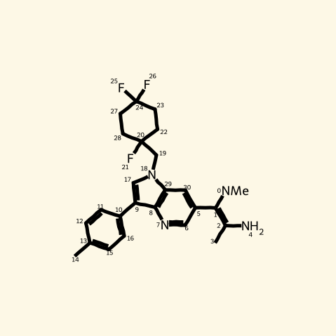 CN/C(=C(/C)N)c1cnc2c(-c3ccc(C)cc3)cn(CC3(F)CCC(F)(F)CC3)c2c1